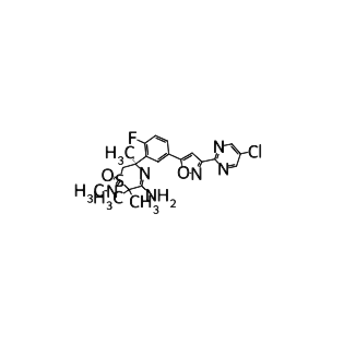 CN=S1(=O)C[C@@](C)(c2cc(-c3cc(-c4ncc(Cl)cn4)no3)ccc2F)N=C(N)C1(C)C